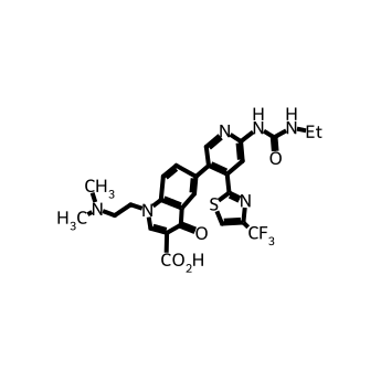 CCNC(=O)Nc1cc(-c2nc(C(F)(F)F)cs2)c(-c2ccc3c(c2)c(=O)c(C(=O)O)cn3CCN(C)C)cn1